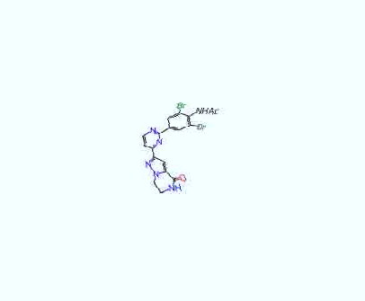 CC(=O)Nc1c(Br)cc(-c2nccc(-c3cc4n(n3)CCNC4=O)n2)cc1Br